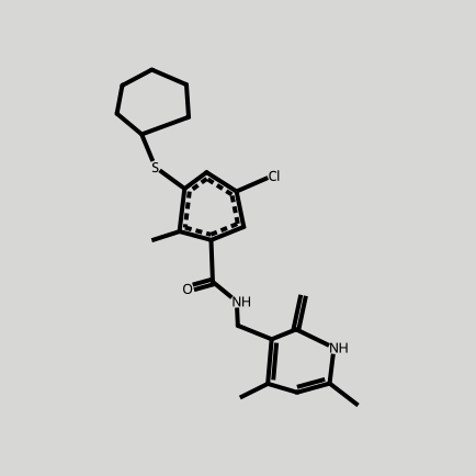 C=C1NC(C)=CC(C)=C1CNC(=O)c1cc(Cl)cc(SC2CCCCC2)c1C